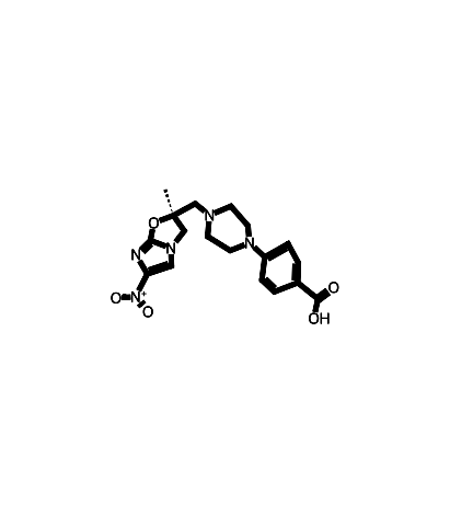 C[C@]1(CN2CCN(c3ccc(C(=O)O)cc3)CC2)Cn2cc([N+](=O)[O-])nc2O1